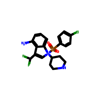 Nc1cccc2c1C(C(F)F)=C[N+]2(C1CCNCC1)S(=O)(=O)c1ccc(Cl)cc1